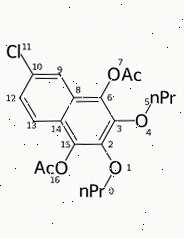 CCCOc1c(OCCC)c(OC(C)=O)c2cc(Cl)ccc2c1OC(C)=O